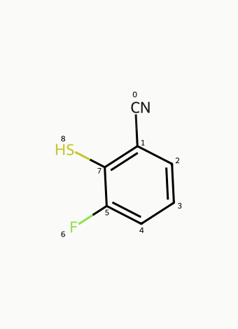 N#Cc1cccc(F)c1S